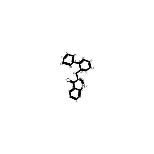 O=c1c2ccccc2ncn1Cc1ccccc1-c1ccccc1